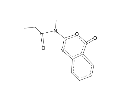 CCC(=O)N(C)c1nc2ccccc2c(=O)o1